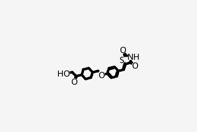 O=C1NC(=O)/C(=C/c2ccc(OCC3CCC(C(=O)CO)CC3)cc2)S1